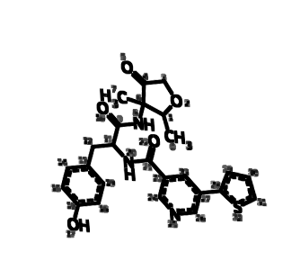 CC1OCC(=O)C1(C)NC(=O)C(Cc1ccc(O)cc1)NC(=O)c1cncc(-c2cccs2)c1